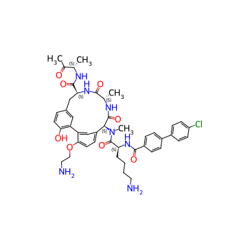 CC(=O)[C@H](C)NC(=O)[C@@H]1Cc2ccc(O)c(c2)-c2cc(ccc2OCCN)[C@H](N(C)C(=O)[C@H](CCCCN)NC(=O)c2ccc(-c3ccc(Cl)cc3)cc2)C(=O)N[C@@H](C)C(=O)N1